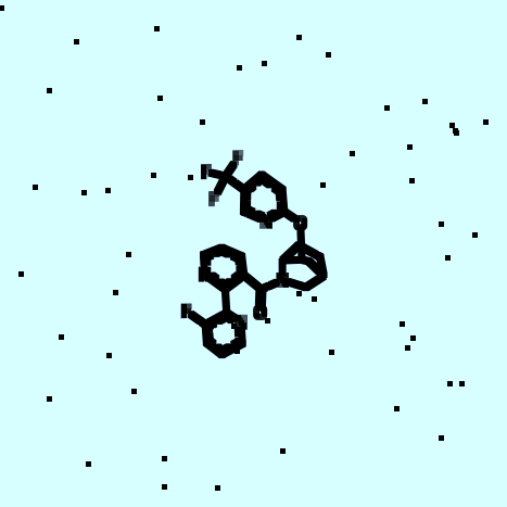 O=C(c1cccnc1-c1ncccc1F)N1CC2CCC1C(Oc1ccc(C(F)(F)F)cn1)C2